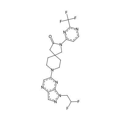 O=C1CC2(CCN(c3cnc4cnn(CC(F)F)c4n3)CC2)CN1c1ccnc(C(F)(F)F)n1